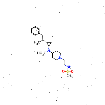 C/C(=C\c1ccccc1)[C@@H]1C[C@H]1N(C(=O)O)C1CCN(CCNS(C)(=O)=O)CC1